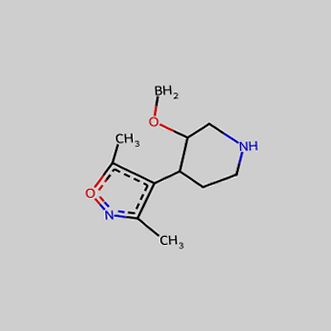 BOC1CNCCC1c1c(C)noc1C